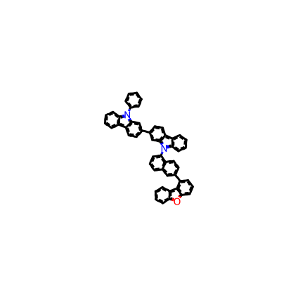 c1ccc(-n2c3ccccc3c3ccc(-c4ccc5c6ccccc6n(-c6cccc7cc(-c8cccc9oc%10ccccc%10c89)ccc67)c5c4)cc32)cc1